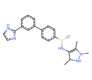 CC1=C(N[S+]([O-])c2ccc(-c3cccc(-c4ncc[nH]4)c3)cc2)C(C)NN1C